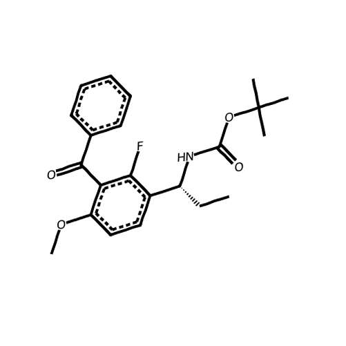 CC[C@@H](NC(=O)OC(C)(C)C)c1ccc(OC)c(C(=O)c2ccccc2)c1F